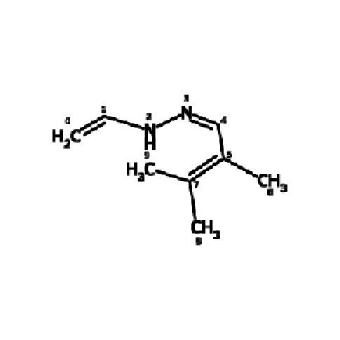 C=CN/N=C\C(C)=C(C)C